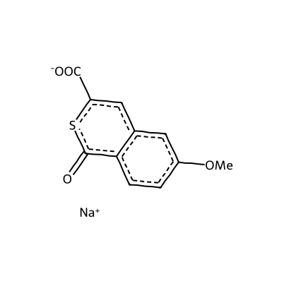 COc1ccc2c(=O)sc(C(=O)[O-])cc2c1.[Na+]